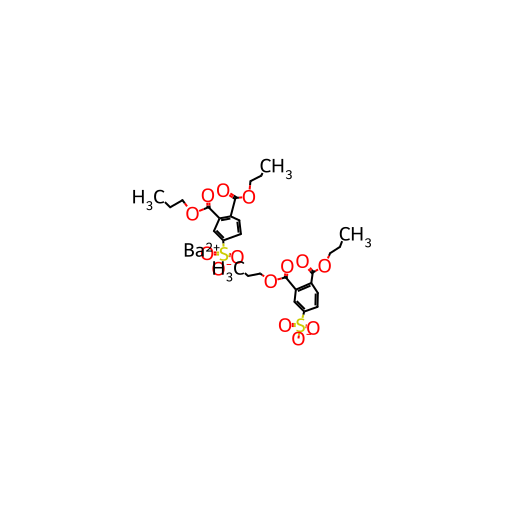 CCCOC(=O)c1ccc(S(=O)(=O)[O-])cc1C(=O)OCCC.CCCOC(=O)c1ccc(S(=O)(=O)[O-])cc1C(=O)OCCC.[Ba+2]